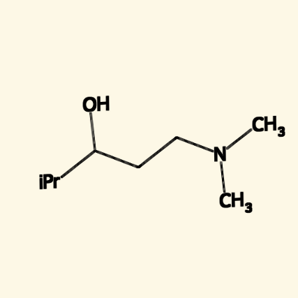 CC(C)C(O)CCN(C)C